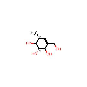 C[C@@H]1C=C(CO)C(O)[C@H](O)C1O